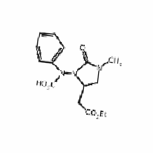 CCOC(=O)CC1CN(C)C(=O)N1N(C(=O)O)c1ccccc1